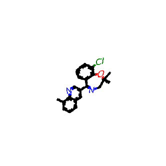 Cc1cccc2cc(C3=NCC(C)(C)Oc4c(Cl)cccc43)cnc12